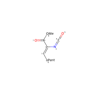 CCCCCC=C(N=C=O)C(=O)OC